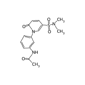 CC(=O)Nc1cccc(-n2cc(S(=O)(=O)N(C)C)ccc2=O)c1